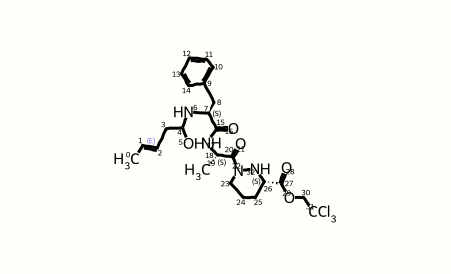 C/C=C/CC(O)N[C@@H](Cc1ccccc1)C(=O)N[C@@H](C)C(=O)N1CCC[C@@H](C(=O)OCC(Cl)(Cl)Cl)N1